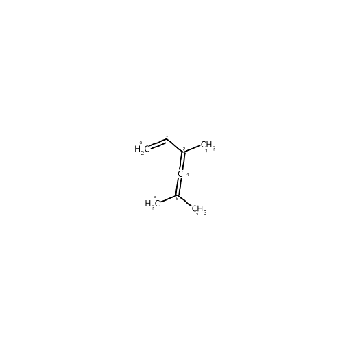 C=CC(C)=C=C(C)C